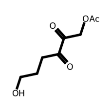 CC(=O)OCC(=O)C(=O)CCCO